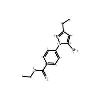 CCOC(=O)c1ccc(-n2nc(CC)cc2N)cc1